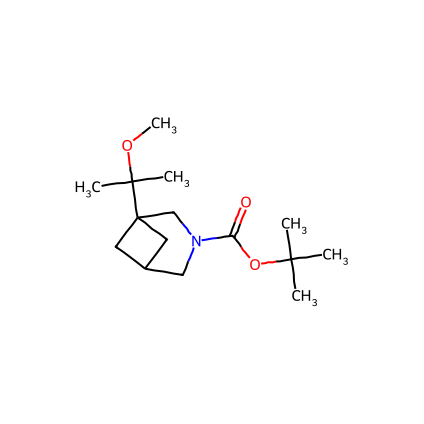 COC(C)(C)C12CC(CN(C(=O)OC(C)(C)C)C1)C2